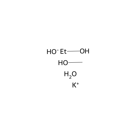 CCO.CO.O.[K+].[OH-]